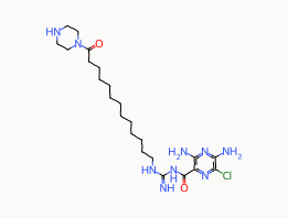 N=C(NCCCCCCCCCCCCC(=O)N1CCNCC1)NC(=O)c1nc(Cl)c(N)nc1N